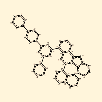 c1ccc(-c2ccc(-c3nc(-c4ccccc4)cc(-c4cccc5c4nc(-c4cccc6ccccc46)c4c6ccccc6sc54)n3)cc2)cc1